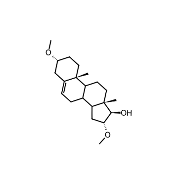 CO[C@@H]1CC[C@@]2(C)C(=CCC3C2CC[C@@]2(C)C3C[C@@H](OC)[C@@H]2O)C1